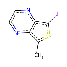 Cc1sc(I)c2nccnc12